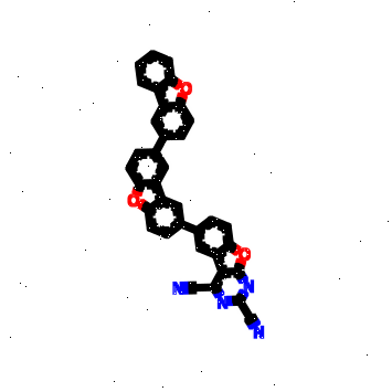 N#Cc1nc(C#N)c2c(n1)oc1ccc(-c3ccc4oc5ccc(-c6ccc7oc8ccccc8c7c6)cc5c4c3)cc12